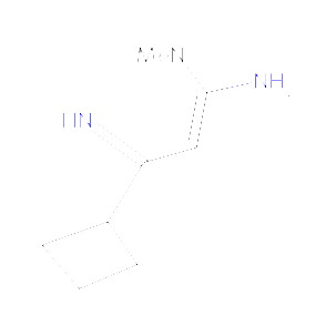 CN/C(N)=C\C(=N)C1CCC1